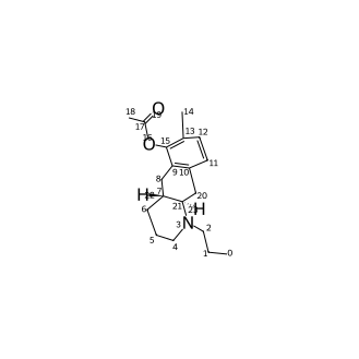 CCCN1CCC[C@@H]2Cc3c(ccc(C)c3OC(C)=O)C[C@H]21